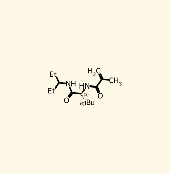 C=C(C)C(=O)N[C@H](C(=O)NC(CC)CC)[C@@H](C)CC